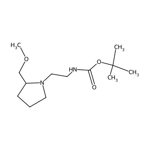 COCC1CCCN1CCNC(=O)OC(C)(C)C